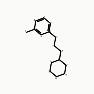 Cc1cccc(CCCC2CCCCC2)c1